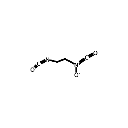 O=C=NCC[N+]([O-])=C=O